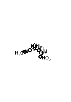 CN1CCN(C2CCC(n3cc(-c4ccc(NS(=O)(=O)Cc5ccccc5[N+](=O)[O-])c(F)c4)c4c(N)ncnc43)CC2)CC1